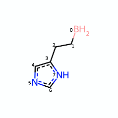 BCCc1cnc[nH]1